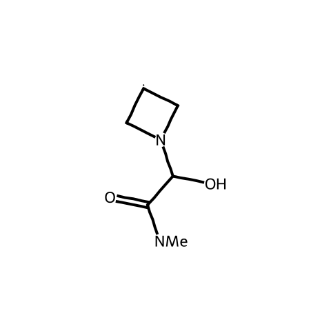 CNC(=O)C(O)N1C[CH]C1